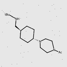 CC(=O)N1CCN([C@H]2CC[C@H](CNC(C)(C)C)CC2)CC1